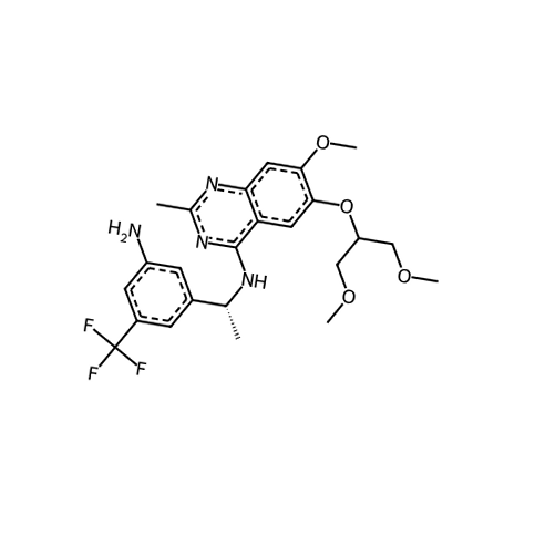 COCC(COC)Oc1cc2c(N[C@H](C)c3cc(N)cc(C(F)(F)F)c3)nc(C)nc2cc1OC